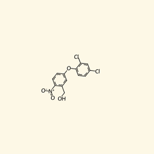 O=[N+]([O-])c1ccc(Oc2ccc(Cl)cc2Cl)cc1CO